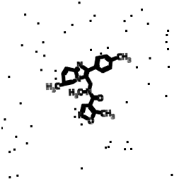 Cc1ccc(-c2nc3ccc(C)cn3c2CN(C)C(=O)c2cnoc2C)cc1